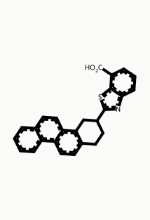 O=C(O)c1cccc2nc(C3CCc4ccc5c(ccc6ccccc65)c4C3)sc12